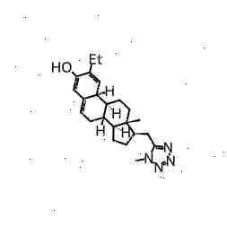 CCC1=C[C@H]2C(=CC[C@@H]3[C@@H]2CC[C@]2(C)[C@@H](Cc4nnnn4C)CC[C@@H]32)C=C1O